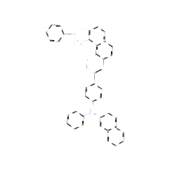 C1=C(c2ccc(N(c3ccccc3)c3ccc4ccccc4c3)cc2)CCc2c1ccc1ccc3c(c21)NC(c1ccccc1)S3